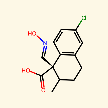 CC1CCc2cc(Cl)ccc2[C@@]1(C=NO)C(=O)O